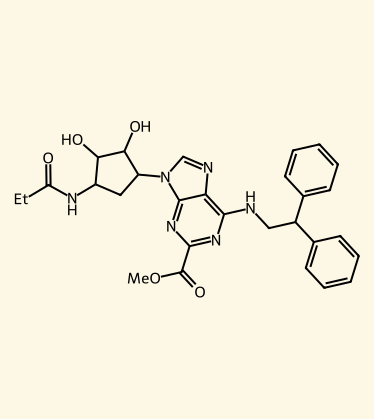 CCC(=O)NC1CC(n2cnc3c(NCC(c4ccccc4)c4ccccc4)nc(C(=O)OC)nc32)C(O)C1O